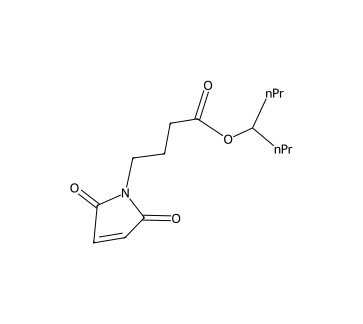 CCCC(CCC)OC(=O)CCCN1C(=O)C=CC1=O